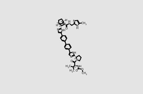 COC(=O)N[C@H](C(=O)N1CCC[C@H]1c1ncc(-c2ccc(-c3ccc(-c4cnc([C@@H]5[C@H]6CC[C@H](C6)[C@H]5C(=O)NCc5ncc(C)[nH]5)[nH]4)cc3)cc2)[nH]1)C(C)C